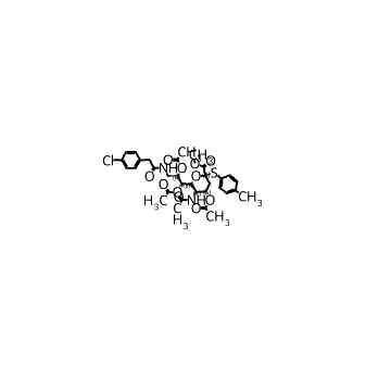 COC(=O)[C@]1(Sc2ccc(C)cc2)C[C@H](OC(C)=O)[C@@H](NC(C)=O)[C@H]([C@H](OC(C)=O)[C@@H](CNC(=O)Cc2ccc(Cl)cc2)OC(C)=O)O1